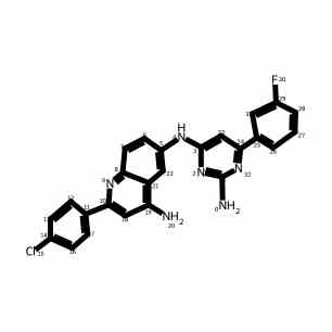 Nc1nc(Nc2ccc3nc(-c4ccc(Cl)cc4)cc(N)c3c2)cc(-c2cccc(F)c2)n1